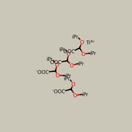 CC(C)OC(OC(C)C)C(=O)[O-].CC(C)OC(OC(C)C)C(=O)[O-].CC(C)OC(OC(C)C)C(=O)[O-].CC(C)OC(OC(C)C)C(=O)[O-].[Ti+4]